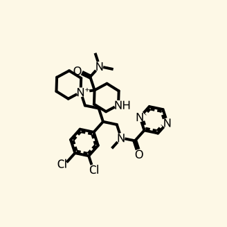 CN(C)C(=O)C1([N+]2(CCC(CN(C)C(=O)c3cnccn3)c3ccc(Cl)c(Cl)c3)CCCCC2)CCNCC1